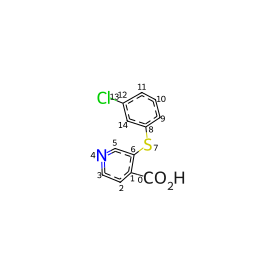 O=C(O)c1ccncc1Sc1cccc(Cl)c1